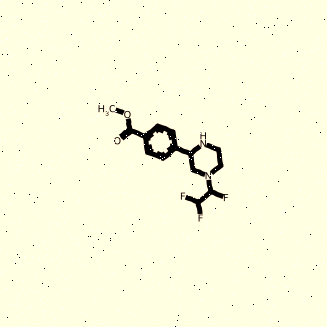 COC(=O)c1ccc(C2CN(C(F)C(F)F)CCN2)cc1